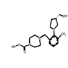 Cc1cccc(CN2CCN(C(=O)OC(C)(C)C)CC2)c1N1CC[C@H](CO)C1